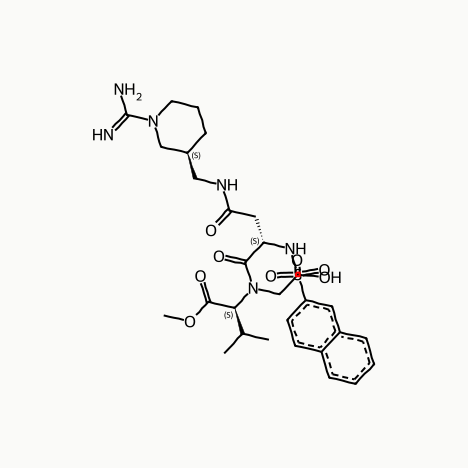 COC(=O)[C@H](C(C)C)N(CC(=O)O)C(=O)[C@H](CC(=O)NC[C@@H]1CCCN(C(=N)N)C1)NS(=O)(=O)c1ccc2ccccc2c1